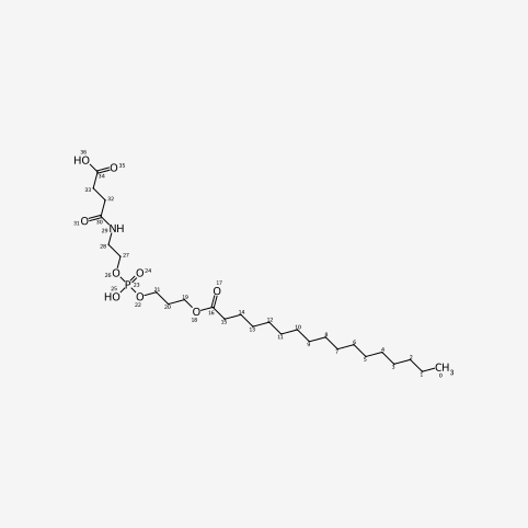 CCCCCCCCCCCCCCCCC(=O)OCCCOP(=O)(O)OCCNC(=O)CCC(=O)O